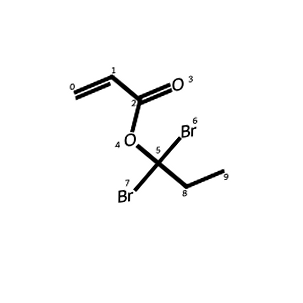 C=CC(=O)OC(Br)(Br)CC